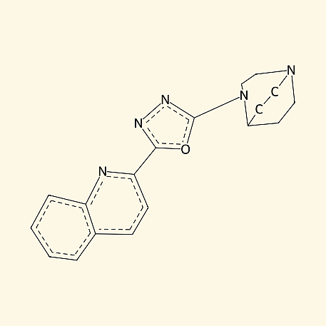 c1ccc2nc(-c3nnc(N4CCN5CCC4CC5)o3)ccc2c1